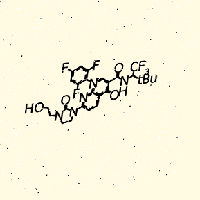 CC(C)(C)C(NC(=O)c1cn(-c2c(F)cc(F)cc2F)c2nc(N3CCN(CCO)C3=O)ccc2c1=O)C(F)(F)F